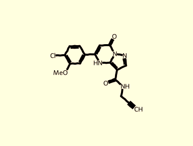 C#CCNC(=O)c1cnn2c(=O)cc(-c3ccc(Cl)c(OC)c3)[nH]c12